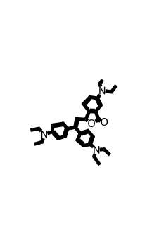 CCN(CC)c1ccc(C(=CC2OC(=O)c3cc(N(CC)CC)ccc32)c2ccc(N(CC)CC)cc2)cc1